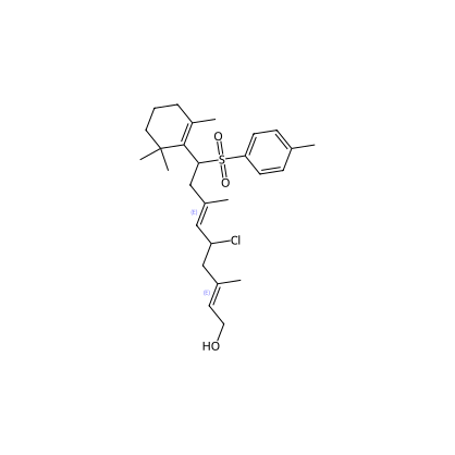 CC1=C(C(C/C(C)=C/C(Cl)C/C(C)=C/CO)S(=O)(=O)c2ccc(C)cc2)C(C)(C)CCC1